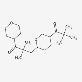 CC(C)(C)C(=O)C1CCC(CC(C)(C)C(=O)C2CCOCC2)OC1